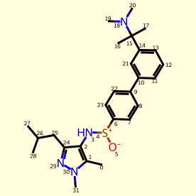 Cc1c(N[S+]([O-])c2ccc(-c3cccc(C(C)(C)N(C)C)c3)cc2)c(CC(C)C)nn1C